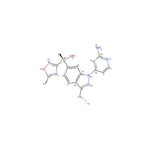 Cc1nc([C@](C)(O)c2ccc3c(CF)nn(-c4ccnc(N)n4)c3c2)no1